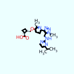 Cc1nc(-c2nnn(C)c2CNc2nccc(C(C)C)n2)ccc1OC[C@H]1CC[C@@H]1C(=O)O